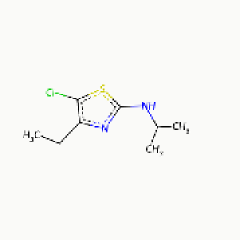 CCc1nc(NC(C)C)sc1Cl